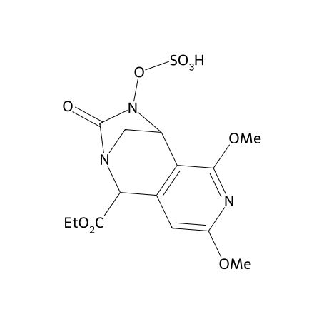 CCOC(=O)C1c2cc(OC)nc(OC)c2C2CN1C(=O)N2OS(=O)(=O)O